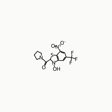 O=C(C1Sc2c(cc(C(F)(F)F)cc2[N+](=O)[O-])N1O)N1CCCC1